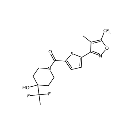 Cc1c(-c2ccc(C(=O)N3CCC(O)(C(C)(F)F)CC3)s2)noc1C(F)(F)F